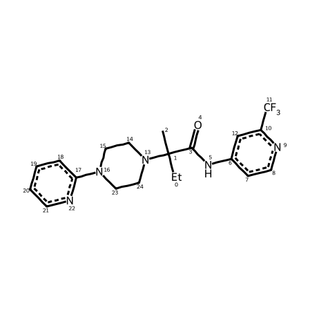 CCC(C)(C(=O)Nc1ccnc(C(F)(F)F)c1)N1CCN(c2ccccn2)CC1